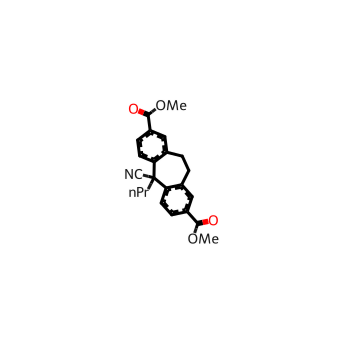 CCCC1(C#N)c2ccc(C(=O)OC)cc2CCc2cc(C(=O)OC)ccc21